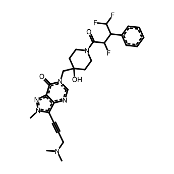 CN(C)CC#Cc1c2ncn(CC3(O)CCN(C(=O)C(F)C(c4ccccc4)C(F)F)CC3)c(=O)c2nn1C